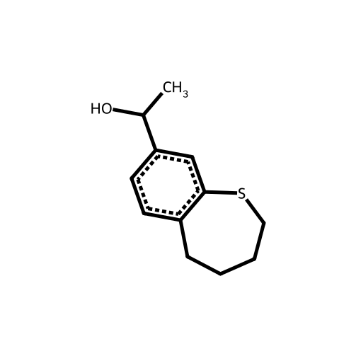 CC(O)c1ccc2c(c1)SCCCC2